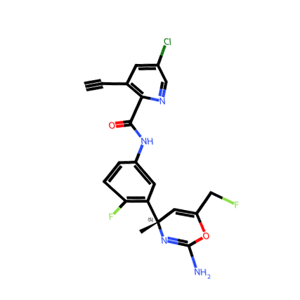 C#Cc1cc(Cl)cnc1C(=O)Nc1ccc(F)c([C@]2(C)C=C(CF)OC(N)=N2)c1